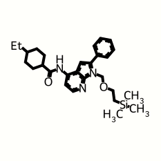 CCC1CCC(C(=O)Nc2ccnc3c2cc(-c2ccccc2)n3COCC[Si](C)(C)C)CC1